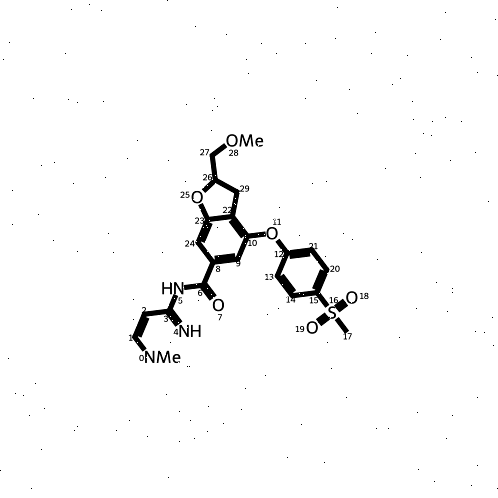 CN/C=C\C(=N)NC(=O)c1cc(Oc2ccc(S(C)(=O)=O)cc2)c2c(c1)OC(COC)C2